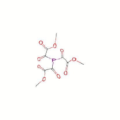 COC(=O)C(=O)P(C(=O)C(=O)OC)C(=O)C(=O)OC